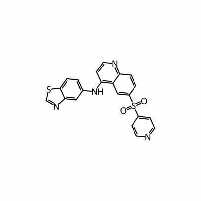 O=S(=O)(c1ccncc1)c1ccc2nccc(Nc3ccc4scnc4c3)c2c1